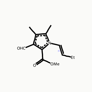 CC/C=C/n1c(C)c(C)c(C=O)c1C(=O)OC